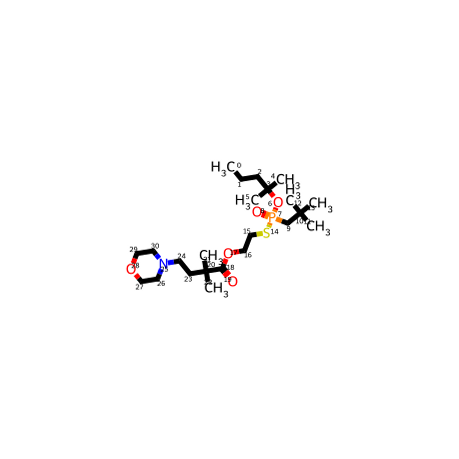 CCCC(C)(C)OP(=O)(CC(C)(C)C)SCCOC(=O)C(C)(C)CCN1CCOCC1